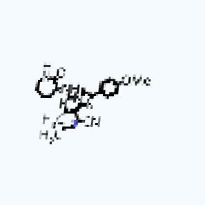 C=C/C=C(/C#N)c1c(C)nc(N[C@@H]2CCCCNC2=O)n2nc(-c3ccc(OC)cc3)nc12